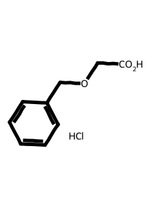 Cl.O=C(O)COCc1ccccc1